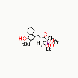 CCOP(=O)(OCC)C(C)(C)C(=O)C=Cc1cc(C(C)(C)C)c(O)c2c1CCCC2